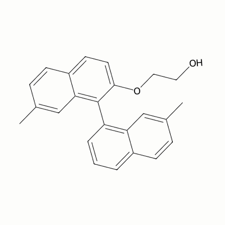 Cc1ccc2cccc(-c3c(OCCO)ccc4ccc(C)cc34)c2c1